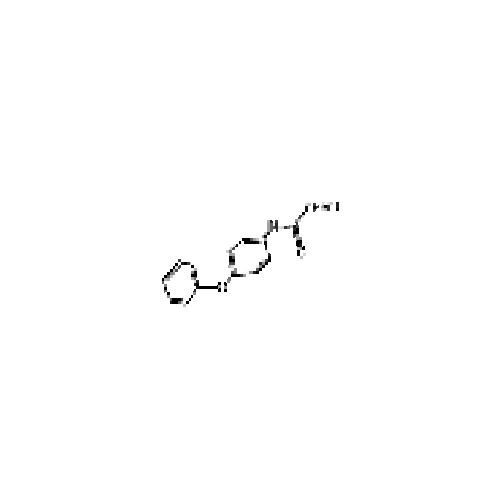 CCCCCC(=O)Nc1ccc(Oc2ccccc2)cc1